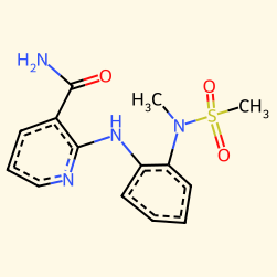 CN(c1ccccc1Nc1ncccc1C(N)=O)S(C)(=O)=O